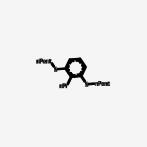 [CH2]CCc1c(SCCCCC)cccc1SCCCCC